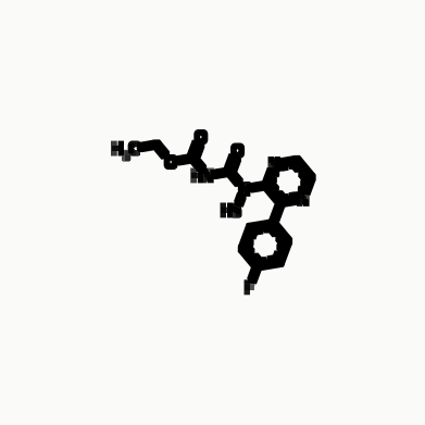 CCOC(=O)NC(=O)N(S)c1nccnc1-c1ccc(F)cc1